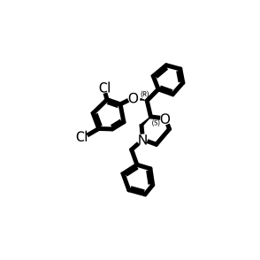 Clc1ccc(O[C@H](c2ccccc2)[C@@H]2CN(Cc3ccccc3)CCO2)c(Cl)c1